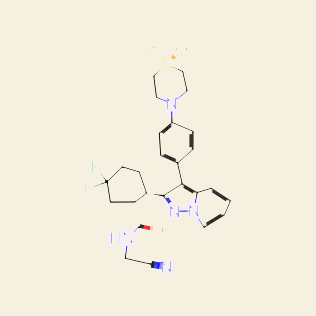 C[C@@H](C#N)NC(=O)[C@@H]1CC(F)(F)CC[C@H]1c1nn2ccccc2c1-c1ccc(N2CCS(=O)(=O)CC2)cc1